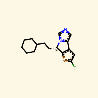 Fc1cc2c(s1)[C@H](CCC1CCCCC1)n1cncc1-2